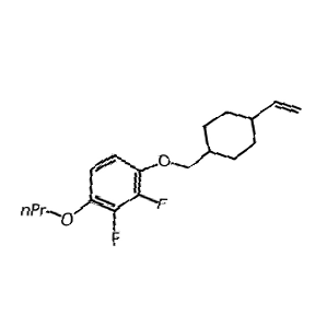 C=CC1CCC(COc2ccc(OCCC)c(F)c2F)CC1